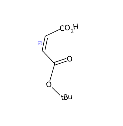 CC(C)(C)OC(=O)/C=C\C(=O)O